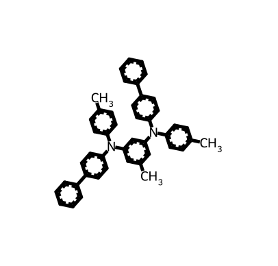 Cc1ccc(N(c2ccc(-c3ccccc3)cc2)c2cc(C)cc(N(c3ccc(C)cc3)c3ccc(-c4ccccc4)cc3)c2)cc1